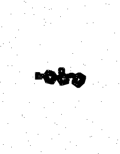 O=C1C(c2ccc(Br)cc2)CCN1Cc1ccccc1